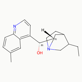 CCC1CN2CCC1C[C@H]2[C@H](O)c1ccnc2ccc(C)cc12